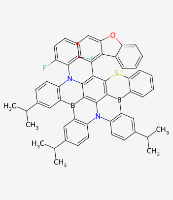 CC(C)c1ccc2c(c1)B1c3ccccc3Sc3c1c1c4c(c3-c3cccc5oc6ccccc6c35)N(c3c(F)cccc3F)c3ccc(C(C)C)cc3B4c3cc(C(C)C)ccc3N21